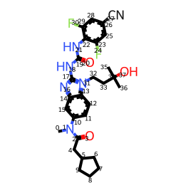 CN(C(=O)CC1CCCC1)c1ccc2c(c1)nc(NC(=O)Nc1c(F)cc(C#N)cc1F)n2CCC(C)(C)O